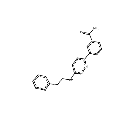 NC(=O)c1cccc(-c2ccc(NCCc3ccccn3)nn2)c1